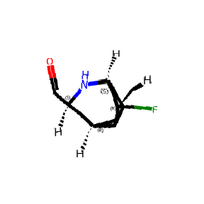 O=C[C@H]1N[C@H]2CC[C@@H]1C[C@H]2F